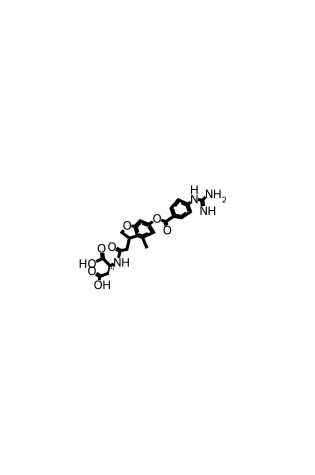 Cc1cc(OC(=O)c2ccc(NC(=N)N)cc2)cc2c1C(CC(=O)N[C@@H](CC(=O)O)C(=O)O)CO2